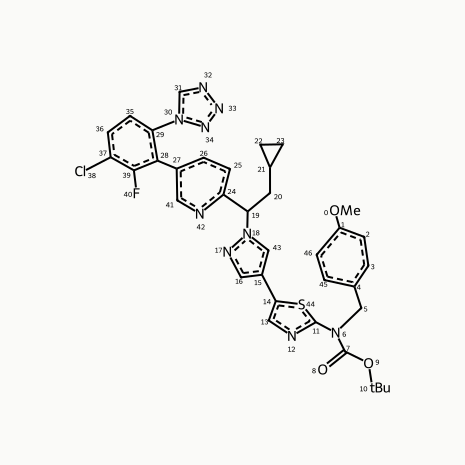 COc1ccc(CN(C(=O)OC(C)(C)C)c2ncc(-c3cnn(C(CC4CC4)c4ccc(-c5c(-n6cnnn6)ccc(Cl)c5F)cn4)c3)s2)cc1